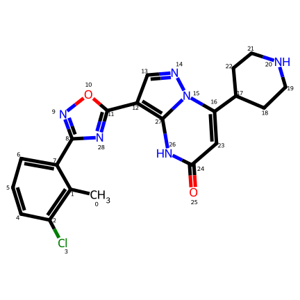 Cc1c(Cl)cccc1-c1noc(-c2cnn3c(C4CCNCC4)cc(=O)[nH]c23)n1